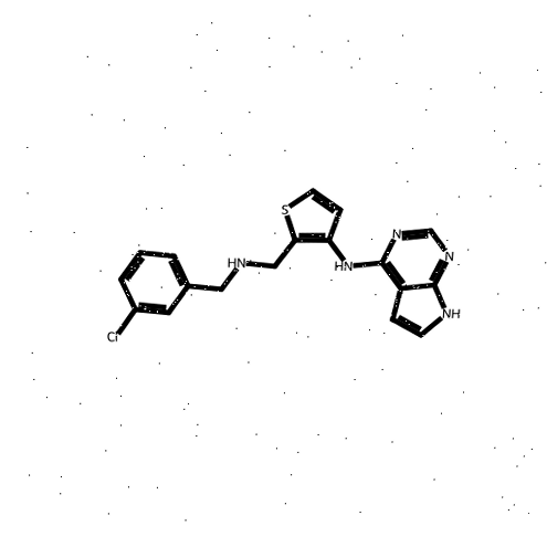 Clc1cccc(CNCc2sccc2Nc2ncnc3[nH]ccc23)c1